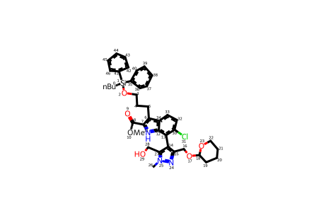 CCCC[Si](OCCCc1c(C(=O)OC)[nH]c2c(-c3c(COC4CCCCO4)nn(C)c3CO)c(Cl)ccc12)(c1ccccc1)c1ccccc1